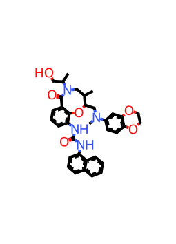 CC1CN(C(C)CO)C(=O)c2cccc(NC(=O)Nc3cccc4ccccc34)c2OC1CN(C)c1ccc2c(c1)OCCO2